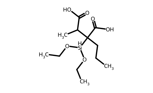 CCCC(C(=O)O)(C(C)C(=O)O)[SiH](OCC)OCC